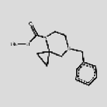 CC(C)(C)OC(=O)N1CCN(Cc2ccccc2)CC12CC2